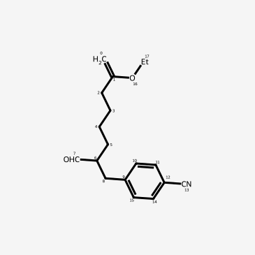 C=C(CCCCC(C=O)Cc1ccc(C#N)cc1)OCC